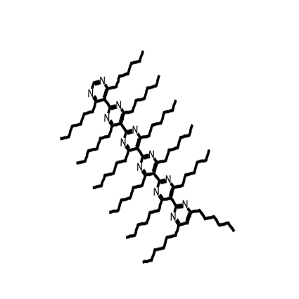 CCCCCCc1cc(CCCCCC)nc(-c2c(CCCCCC)nc(-c3c(CCCCCC)nc(-c4c(CCCCCC)nc(-c5c(CCCCCC)nc(-c6c(CCCCCC)ncnc6CCCCCC)nc5CCCCCC)nc4CCCCCC)nc3CCCCCC)nc2CCCCCC)n1